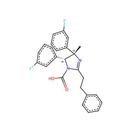 C[C@@]1(c2cccc(F)c2)N=C(CCc2ccccc2)N(C(=O)O)[C@@H]1c1cccc(F)c1